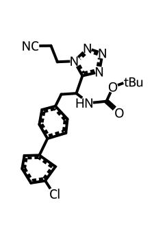 CC(C)(C)OC(=O)NC(Cc1ccc(-c2cccc(Cl)c2)cc1)c1nnnn1CCC#N